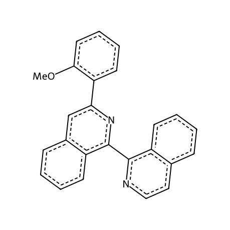 COc1ccccc1-c1cc2ccccc2c(-c2nccc3ccccc23)n1